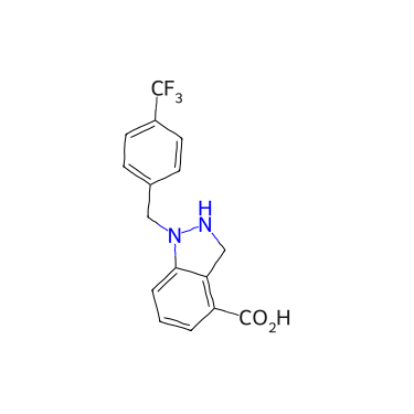 O=C(O)c1cccc2c1CNN2Cc1ccc(C(F)(F)F)cc1